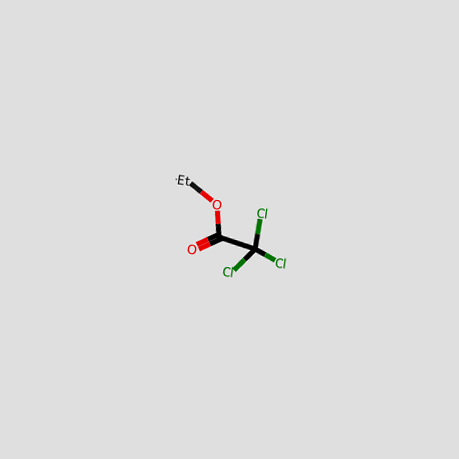 C[CH]OC(=O)C(Cl)(Cl)Cl